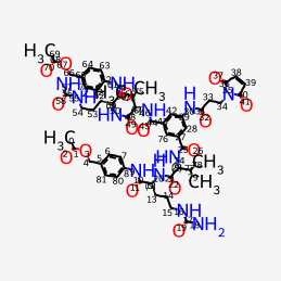 CC(=O)OCc1ccc(NC(=O)[C@H](CCCNC(N)=O)NC(=O)[C@@H](NC(=O)c2cc(NC(=O)CCN3C(=O)C=CC3=O)cc(C(=O)N[C@H](C(=O)N[C@@H](CCCNC(N)=O)C(=O)Nc3ccc(COC(C)=O)cc3)C(C)C)c2)C(C)C)cc1